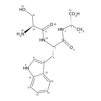 C[C@H](NC(=O)[C@H](Cc1c[nH]c2ccccc12)NC(=O)[C@@H](N)CO)C(=O)O